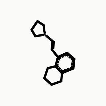 C(=CN1CCCC1)c1cccc2c1CCCC2